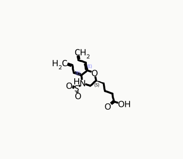 C=C/C=C1/O[C@@H](CCCC(=O)O)CN([SH](=O)=O)/C1=C/C=C